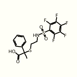 CC(SCCNS(=O)(=O)c1c(F)c(F)c(F)c(F)c1F)(C(=O)O)c1ccccc1